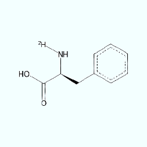 [2H]N[C@@H](Cc1ccccc1)C(=O)O